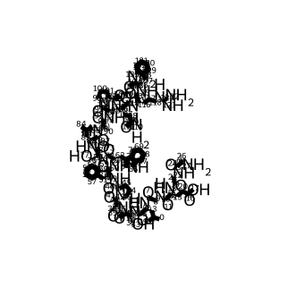 CC(C)C[C@H](NC(=O)CNC(=O)[C@H](CCC(=O)O)NC(=O)CNC(=O)[C@H](C)N)C(=O)N[C@@H](CO)C(=O)N[C@@H](CO)C(=O)N1CCC[C@H]1C(=O)N[C@@H](Cc1ccccc1)C(=O)N[C@@H](Cc1c[nH]c2ccccc12)C(=O)N[C@@H](CO)C(=O)N[C@@H](CC(C)C)C(=O)N[C@@H](C)C(=O)N[C@@H](C)C(=O)N1CCC[C@H]1C(=O)N[C@@H](CCC(N)=O)C(=O)N[C@@H](CCCNC(=N)N)C(=O)N[C@@H](Cc1ccccc1)C(N)=O